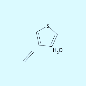 C=C.O.c1ccsc1